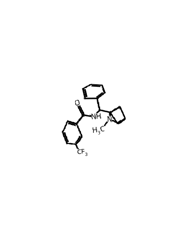 CN1CC2CC1(C(NC(=O)c1cccc(C(F)(F)F)c1)c1ccccc1)C2